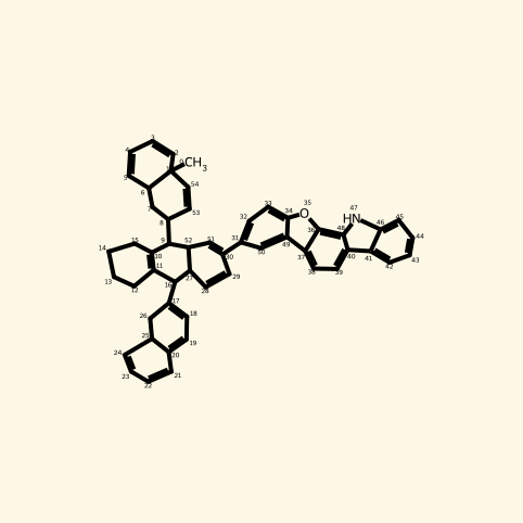 CC12C=CC=CC1CC(C1C3=C(CCCC3)C(C3=CC=C4C=CC=CC4C3)C3C=CC(c4ccc5oc6c(ccc7c8ccccc8[nH]c76)c5c4)=CC31)C=C2